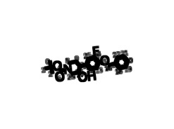 CC(C)(C)OC(=O)N1CCC(c2ccc(OCc3ccccc3)c(F)c2)C(O)C1